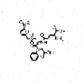 N[C@@H](CCC(=O)N[C@@H](CS(=O)(=O)Cc1ccc([N+](=O)[O-])o1)C(=O)N(CC(=O)O)c1ccccc1)C(=O)O